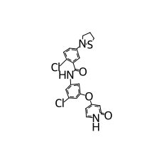 O=C(Nc1cc(Cl)cc(Oc2cc[nH]c(=O)c2)c1)c1cc(N2CCCS2)ccc1Cl